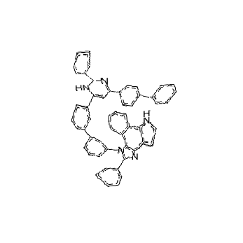 C1=C(c2cccc(-c3cccc(-n4c(-c5ccccc5)nc5c6cc[nH]c6c6ccccc6c54)c3)c2)NC(c2ccccc2)N=C1c1ccc(-c2ccccc2)cc1